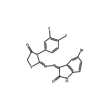 O=C1Nc2ccc(Br)cc2C1=NN=C1SCC(=O)N1c1ccc(F)c(F)c1